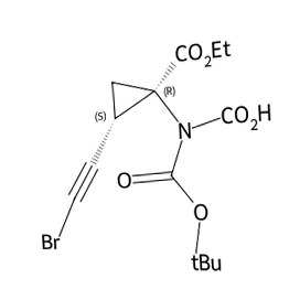 CCOC(=O)[C@@]1(N(C(=O)O)C(=O)OC(C)(C)C)C[C@H]1C#CBr